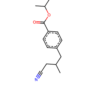 CC(CC#N)Cc1ccc(C(=O)OC(C)C)cc1